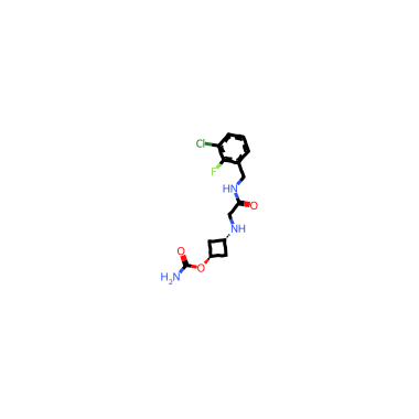 NC(=O)O[C@H]1C[C@H](NCC(=O)NCc2cccc(Cl)c2F)C1